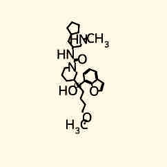 CNCC(CC1CCCC1)NC(=O)N1CCCC([C@@](O)(CCCCOC)c2cccc3ccoc23)C1